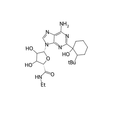 CCNC(=O)[C@H]1O[C@@H](n2cnc3c(N)nc(C4(O)CCCCC4C(C)(C)C)nc32)C(O)C1O